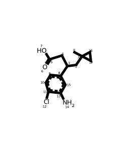 CC1(CC(CC(=O)O)c2ccc(Cl)c(N)c2)CC1